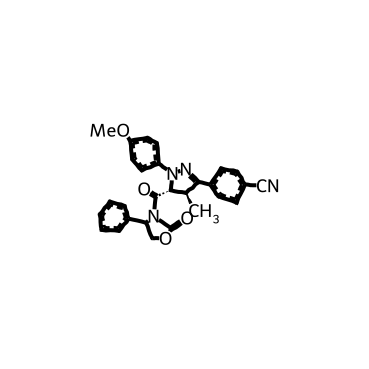 COc1ccc(N2N=C(c3ccc(C#N)cc3)[C@@H](C)[C@@H]2C(=O)N2C(=O)OCC2c2ccccc2)cc1